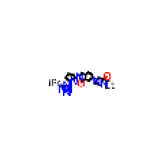 CCN1CCN(c2ccc3c(c2)C(=O)N(c2cccc(-n4nnnc4C(C)C)n2)C3)CC1=O